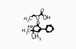 CC1(C)C=C(c2ccccc2)C(=O)N1.CCOC(=O)O